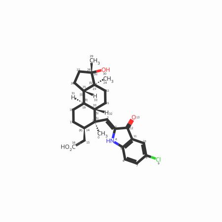 C[C@]1(C=C2Nc3ccc(Cl)cc3C2=O)[C@@H](CC(=O)O)CC[C@@H]2[C@@H]1CC[C@@]1(C)[C@H]2CC[C@]1(C)O